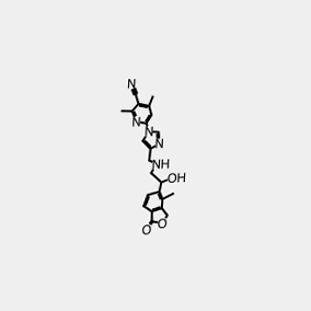 Cc1cc(-n2cnc(CNCC(O)c3ccc4c(c3C)COC4=O)c2)nc(C)c1C#N